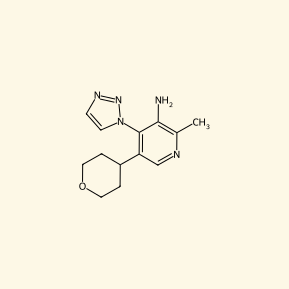 Cc1ncc(C2CCOCC2)c(-n2ccnn2)c1N